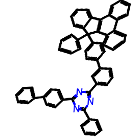 c1ccc(-c2ccc(-c3nc(-c4ccccc4)nc(-c4cccc(-c5ccc(C6(c7ccccc7)c7ccccc7-c7c6c6ccccc6c6ccccc76)cc5)c4)n3)cc2)cc1